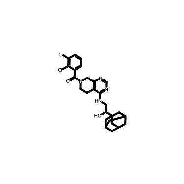 O=C(c1cccc(Cl)c1Cl)N1CCc2c(ncnc2NCC(O)C23CC4CC(CC(C4)C2)C3)C1